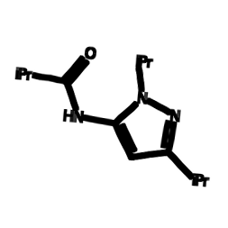 CC(C)C(=O)Nc1cc(C(C)C)nn1C(C)C